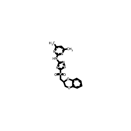 Cc1cc(C)nc(Nc2nsc(S(=O)(=O)CC3COc4ccccc4O3)n2)n1